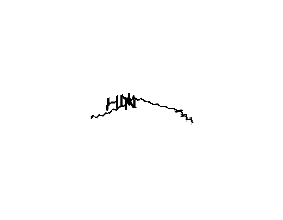 CCCCCCCCCCCCCCCCCCc1c[nH]c(CCCCCCCCCCC)n1